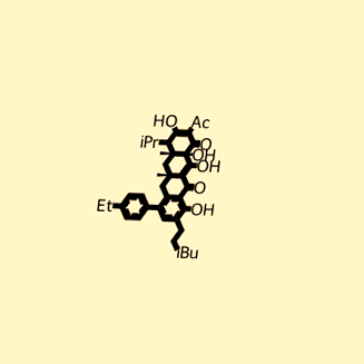 CCc1ccc(-c2cc(CCC(C)CC)c(O)c3c2C[C@]2(C)C[C@]4(C)C(C(C)C)C(O)=C(C(C)=O)C(=O)[C@]4(O)C(O)=C2C3=O)cc1